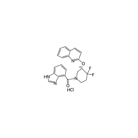 Cl.O=C(c1cccc2[nH]cnc12)N1CCC(F)(F)[C@@H](Oc2ccc3ccccc3n2)C1